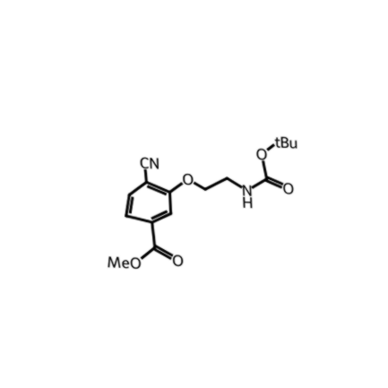 COC(=O)c1ccc(C#N)c(OCCNC(=O)OC(C)(C)C)c1